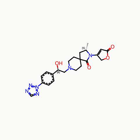 C[C@H]1CC2(CCN(C[C@H](O)c3ccc(-n4ncnn4)cc3)CC2)C(=O)N1C1=CC(=O)OC1